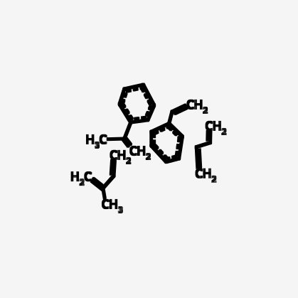 C=C(C)c1ccccc1.C=CC(=C)C.C=CC=C.C=Cc1ccccc1